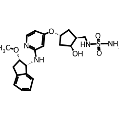 CO[C@H]1Cc2ccccc2[C@H]1Nc1cc(O[C@@H]2C[C@@H](CNS(N)(=O)=O)[C@@H](O)C2)ccn1